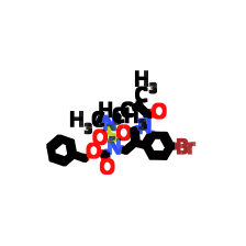 CC(C)C(=O)n1cc(CN(C(=O)OCc2ccccc2)S(=O)(=O)N(C)C)c2ccc(Br)cc21